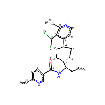 COC[C@@H](NC(=O)c1ccc(OC)nc1)[C@H]1CC[C@@H](c2ccnc(OC)c2C(F)F)CC1